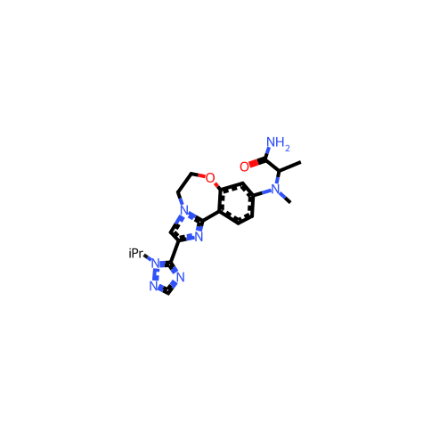 CC(C(N)=O)N(C)c1ccc2c(c1)OCCn1cc(-c3ncnn3C(C)C)nc1-2